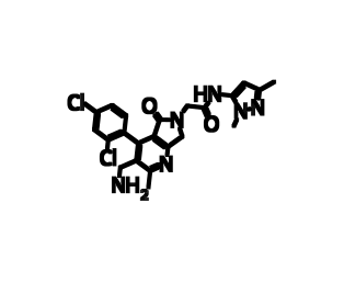 Cc1cc(NC(=O)CN2Cc3nc(C)c(CN)c(-c4ccc(Cl)cc4Cl)c3C2=O)n(C)n1